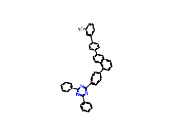 N#Cc1cccc(-c2ccc(-c3ccc4c(-c5ccc(-c6nc(-c7ccccc7)nc(-c7ccccc7)n6)cc5)cccc4c3)cc2)c1